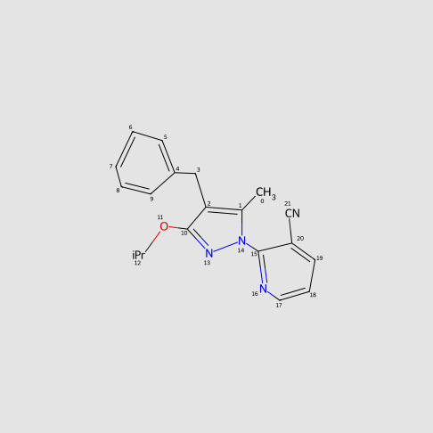 Cc1c(Cc2ccccc2)c(OC(C)C)nn1-c1ncccc1C#N